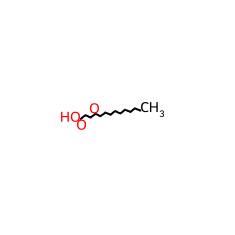 CCCCCCCCCCC(=O)CCC(=O)O